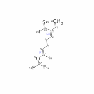 C=C/C(=C/CC/C=C(\I)OC(F)F)C(=S)I